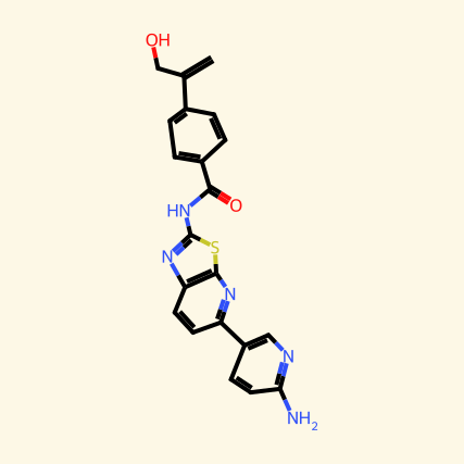 C=C(CO)c1ccc(C(=O)Nc2nc3ccc(-c4ccc(N)nc4)nc3s2)cc1